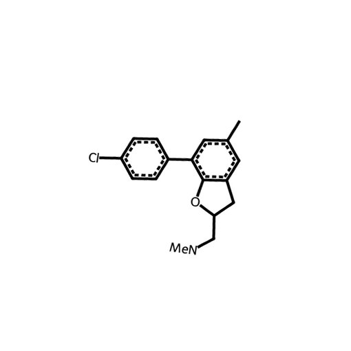 CNCC1Cc2cc(C)cc(-c3ccc(Cl)cc3)c2O1